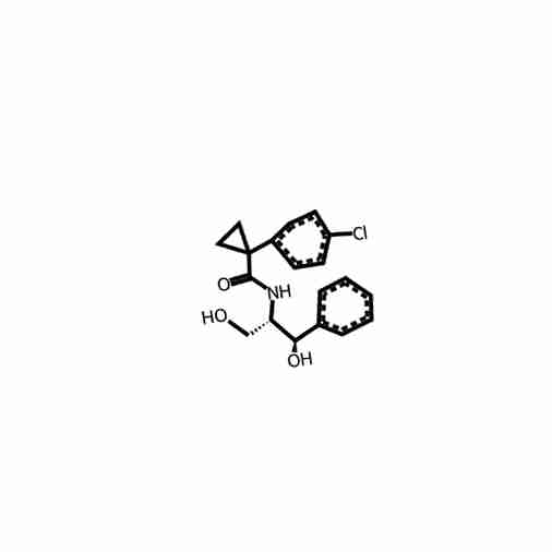 O=C(N[C@@H](CO)[C@H](O)c1ccccc1)C1(c2ccc(Cl)cc2)CC1